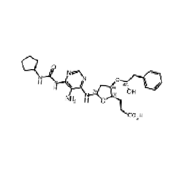 Nc1c(NC(=O)NC2CCCC2)ncnc1N[C@H]1C[C@@H](O[C@@H](O)Cc2ccccc2)[C@@H](CCC(=O)O)O1